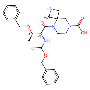 C[C@@H](OCc1ccccc1)[C@H](NC(=O)OCc1ccccc1)C(=O)N1CCN(C(=O)O)CC12CNC2=O